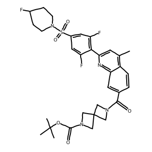 Cc1cc(-c2c(F)cc(S(=O)(=O)N3CCC(F)CC3)cc2F)nc2cc(C(=O)N3CC4(CN(C(=O)OC(C)(C)C)C4)C3)ccc12